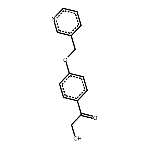 O=C(CO)c1ccc(OCc2cccnc2)cc1